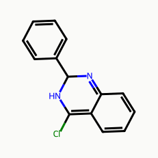 ClC1=c2ccccc2=NC(c2ccccc2)N1